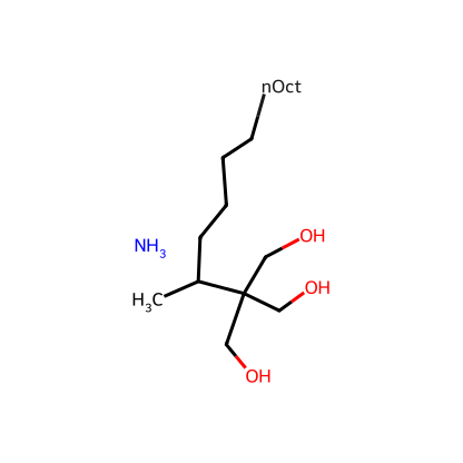 CCCCCCCCCCCCC(C)C(CO)(CO)CO.N